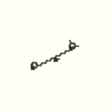 Cc1cc(C)c[n+](CCCCCCCCCCCCCc2cccnc2)c1.[Br-]